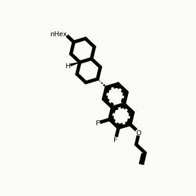 C=CCOc1cc2ccc([C@@H]3CC[C@@H]4CC(CCCCCC)CCC4C3)cc2c(F)c1F